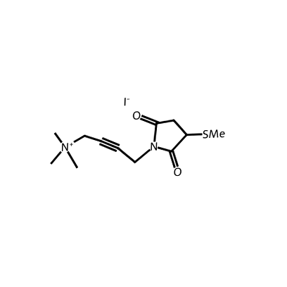 CSC1CC(=O)N(CC#CC[N+](C)(C)C)C1=O.[I-]